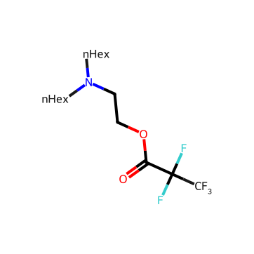 CCCCCCN(CCCCCC)CCOC(=O)C(F)(F)C(F)(F)F